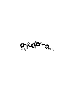 Cc1ccnc(CNC(=O)Cc2cnc(-c3ccc(OCCN4CCN(C)CC4)cc3F)nc2)c1